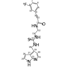 O=C(C#Cc1cccc(F)c1)NCCNC(=S)NCc1ccnc2[nH]ccc12